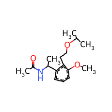 COc1cccc(C(C)NC(C)=O)c1CCOC(C)C